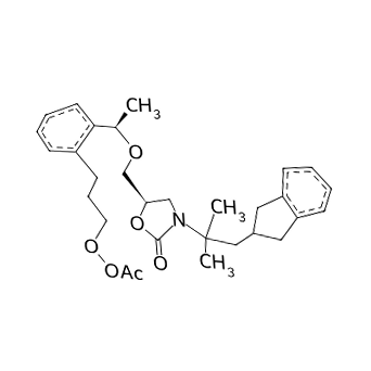 CC(=O)OOCCCc1ccccc1[C@@H](C)OC[C@H]1CN(C(C)(C)CC2Cc3ccccc3C2)C(=O)O1